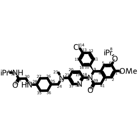 COc1cc2c(cc1OC(C)C)[C@H](c1ccc(Cl)cc1)N(c1ccc(N(C)CC3CCC(NCC(=O)NC(C)C)CC3)cn1)C(=O)C2